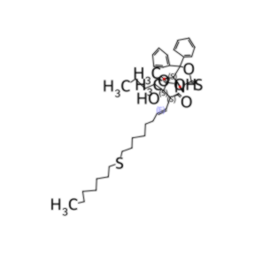 CCCCCCCSCCCCCC/C=C/[C@H](C(=O)N1C(=S)OC(c2ccccc2)(c2ccccc2)[C@@H]1C(C)C)[C@@](O)(CCCC)C(=O)O